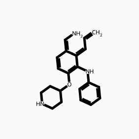 C=C/C=c1/c(Nc2ccccc2)c(OC2CCNCC2)cc/c1=C/N